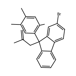 C=C(C)CC1(c2cc(C)c(C)cc2C)c2ccccc2-c2ccc(Br)cc21